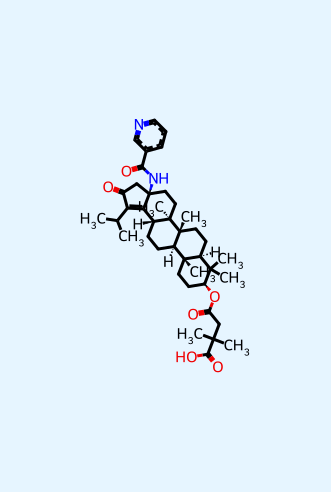 CC(C)C1=C2[C@H]3CC[C@@H]4[C@@]5(C)CC[C@H](OC(=O)CC(C)(C)C(=O)O)C(C)(C)[C@@H]5CC[C@@]4(C)[C@]3(C)CC[C@@]2(NC(=O)c2cccnc2)CC1=O